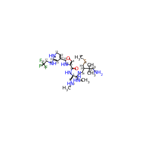 CN/C=C(/NC(=O)C1=COC(C2=CCNC(NCC(F)(F)F)=C2)N1)C(NC)NCC(CSC)C(C)(C)CN